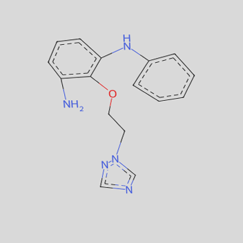 Nc1cccc(Nc2ccccc2)c1OCCn1cncn1